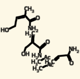 C=C(CO)C(N)=O.C=CC(N)=O.CC(=CCO)C(N)=O.CC(C)=O.CC(C)=O